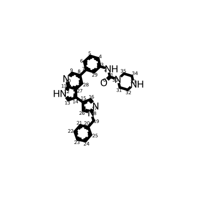 O=C(Nc1cccc(-c2cnc3[nH]cc(-c4cnn(Cc5ccccc5)c4)c3c2)c1)N1CCNCC1